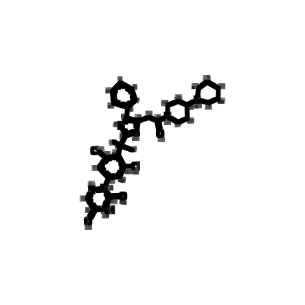 CC(C)(c1nc(-c2ccccc2)c(CC(=O)N2CCC(N3CCCCC3)CC2)s1)c1c(Cl)cc(-n2ncc(=O)[nH]c2=O)cc1Cl